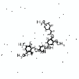 COc1cc(Nc2ncc(OCc3c(F)c(C)cc(OC)c3F)cn2)ccc1OCCC1CCN(C)CC1